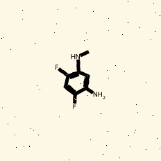 CNc1cc(N)c(F)cc1F